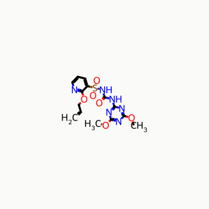 C=CCOc1ncccc1S(=O)(=O)NC(=O)Nc1nc(OC)nc(OC)n1